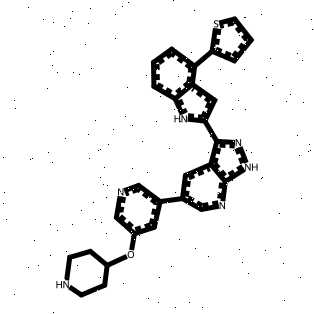 c1csc(-c2cccc3[nH]c(-c4n[nH]c5ncc(-c6cncc(OC7CCNCC7)c6)cc45)cc23)c1